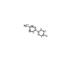 N#Cc1ncc(-c2ccc(I)cc2)cn1